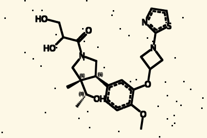 COc1ccc([C@@H]2CN(C(=O)C(O)CO)C[C@@]2(C)[C@@H](C)O)cc1OC1CN(c2nccs2)C1